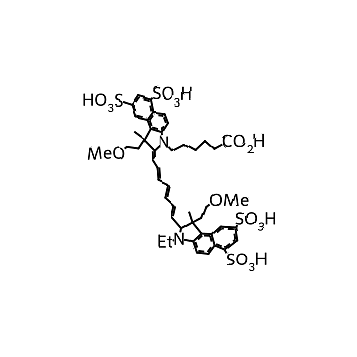 CCN1c2ccc3c(S(=O)(=O)O)cc(S(=O)(=O)O)cc3c2C(C)(CCOC)C1C=CC=CC=CC=C1N(CCCCCC(=O)O)c2ccc3c(S(=O)(=O)O)cc(S(=O)(=O)O)cc3c2C1(C)CCOC